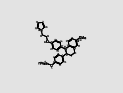 CCCCCOc1ccc(C2CCc3cc(OC)ccc3N2c2ccc(OCCn3cccc3)cc2)cc1